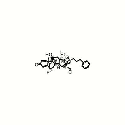 C[C@]12C=CC(=O)C=C1[C@@H](F)C[C@H]1[C@@H]3C[C@H]4CN(CCCc5ccccc5)O[C@@]4(C(=O)OCCl)[C@@]3(C)C[C@H](O)[C@@]12F